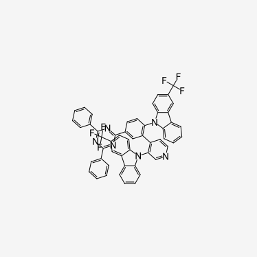 FC(F)(F)c1ccc2c(c1)c1ccccc1n2-c1ccc(-c2nc(-c3ccccc3)nc(-c3ccccc3)n2)cc1-c1ccncc1-n1c2ccccc2c2cc(C(F)(F)F)ccc21